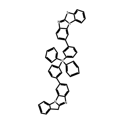 c1ccc([Si](c2ccccc2)(c2cccc(-c3ccc4nc5n(c4c3)-c3ccccc3C5)c2)c2cccc(-c3ccc4nc5sc6ccccc6n5c4c3)c2)cc1